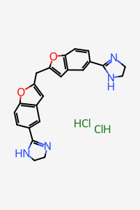 Cl.Cl.c1cc2oc(Cc3cc4cc(C5=NCCN5)ccc4o3)cc2cc1C1=NCCN1